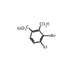 CCCCc1c(CC)ccc(C(=O)OCC)c1C(=O)O